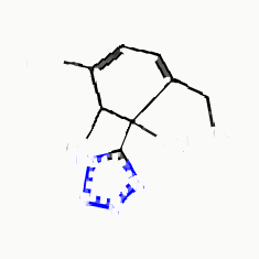 CC1C(C(=O)O)=CC=C(CC(C)(C)C)C1(C(=O)O)c1nnn[nH]1